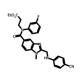 CCOC(=O)CCN(C(=O)c1ccc2c(c1)nc(CNc1ccc(C#N)cc1)n2C)c1cccc(F)c1